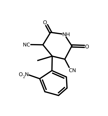 CC1(c2ccccc2[N+](=O)[O-])C(C#N)C(=O)NC(=O)C1C#N